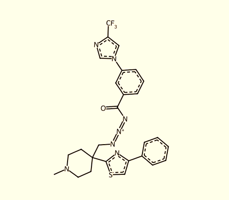 CN1CCC(CN=[N+]=NC(=O)c2cccc(-n3cnc(C(F)(F)F)c3)c2)(c2nc(-c3ccccc3)cs2)CC1